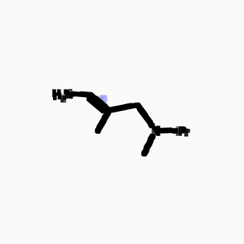 C/C(=C\N)CN(C)C(C)C